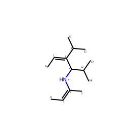 C/C=C(/C)NC(/C(=C\C)C(C)C)C(C)C